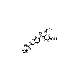 CCCOc1cc(O)ccc1C(=O)c1ccc(C=CC(=O)OC(C)(C)C)cc1